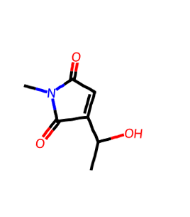 CC(O)C1=CC(=O)N(C)C1=O